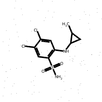 CC1CC1Nc1cc(Cl)c(Cl)cc1S(N)(=O)=O